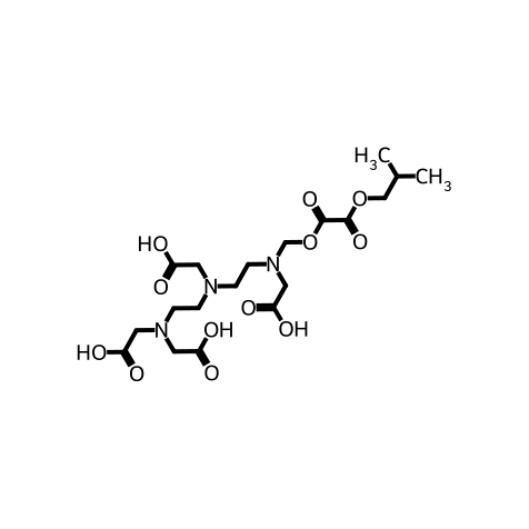 CC(C)COC(=O)C(=O)OCN(CCN(CCN(CC(=O)O)CC(=O)O)CC(=O)O)CC(=O)O